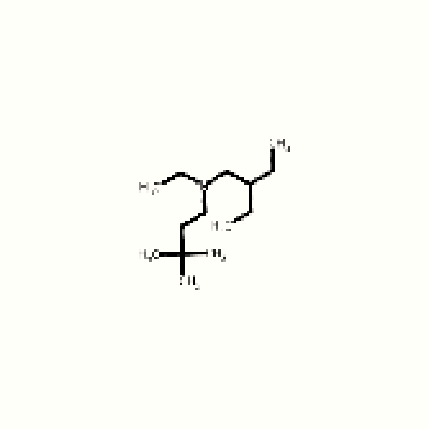 CCC(CC)CN(CC)CCC(C)(C)C